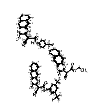 CCOC(=O)C(C#N)c1nc2cc3ccccc3cc2nc1Cl.N#CC(C(=O)Nc1cc(C(F)(F)F)cc(C(F)(F)F)c1)c1nc2cc3ccccc3cc2nc1Cl.N#CC(C(=O)Nc1ccc(C(F)(F)F)cc1)c1nc2cc3ccccc3cc2nc1Cl